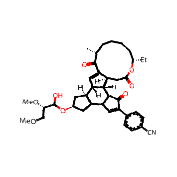 CC[C@H]1CCCC[C@@H](C)C(=O)C2=C[C@@H]3[C@@H](C4C(=O)C(c5ccc(C#N)cc5)=CC4C4C[C@@H](OC(O)[C@H](COC)OC)C[C@H]43)[C@@H]2CC(=O)O1